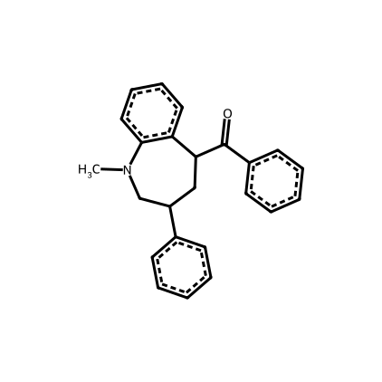 CN1CC(c2ccccc2)CC(C(=O)c2ccccc2)c2ccccc21